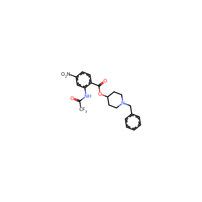 O=C(OC1CCN(Cc2ccccc2)CC1)c1ccc([N+](=O)[O-])cc1NC(=O)C(F)(F)F